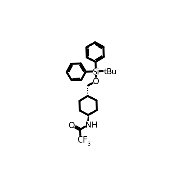 CC(C)(C)[Si](OC[C@H]1CC[C@H](NC(=O)C(F)(F)F)CC1)(c1ccccc1)c1ccccc1